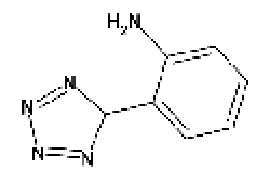 Nc1ccccc1C1N=NN=N1